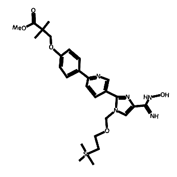 COC(=O)C(C)(C)COc1ccc(-c2ccc(-c3nc(C(=N)NO)cn3COCC[Si](C)(C)C)cn2)cc1